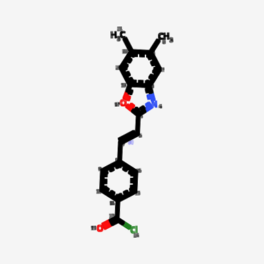 Cc1cc2nc(/C=C/c3ccc(C(=O)Cl)cc3)oc2cc1C